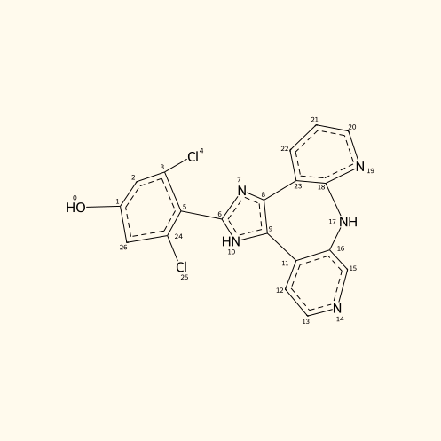 Oc1cc(Cl)c(-c2nc3c([nH]2)-c2ccncc2Nc2ncccc2-3)c(Cl)c1